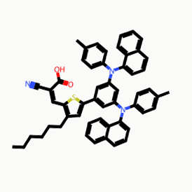 CCCCCCc1cc(-c2cc(N(c3ccc(C)cc3)c3cccc4ccccc34)cc(N(c3ccc(C)cc3)c3cccc4ccccc34)c2)sc1/C=C(/C#N)C(=O)O